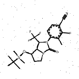 Cc1c(N2C(=O)N3CCC(O[Si](C)(C)C(C)(C)C)C3C2C(F)(F)F)ccc(C#N)c1F